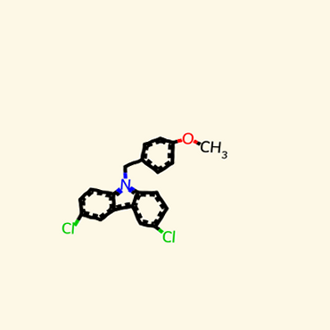 COc1ccc(Cn2c3ccc(Cl)cc3c3cc(Cl)ccc32)cc1